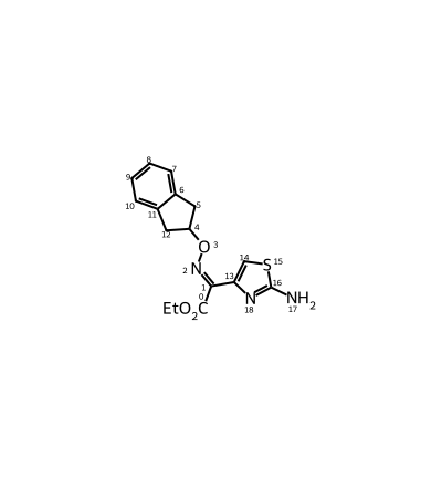 CCOC(=O)C(=NOC1Cc2ccccc2C1)c1csc(N)n1